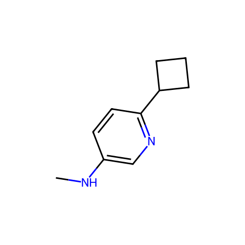 CNc1ccc(C2CCC2)nc1